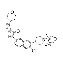 C[C@@]1(N2CCC(c3cc4cc(NC(=O)[C@H]5C[C@H]5C5CCOCC5)ncc4cc3Cl)CC2)COC[C@@H]1F